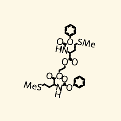 CSCCC(NC(=O)Oc1ccccc1)C(=O)OCCOC(=O)C(CCSC)NC(=O)Oc1ccccc1